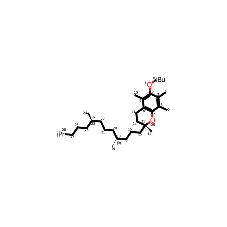 CCC(C)Oc1c(C)c(C)c2c(c1C)CC[C@@](C)(CCC[C@H](C)CCC[C@H](C)CCCC(C)C)O2